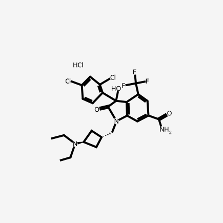 CCN(CC)[C@H]1C[C@H](CN2C(=O)C(O)(c3ccc(Cl)cc3Cl)c3c2cc(C(N)=O)cc3C(F)(F)F)C1.Cl